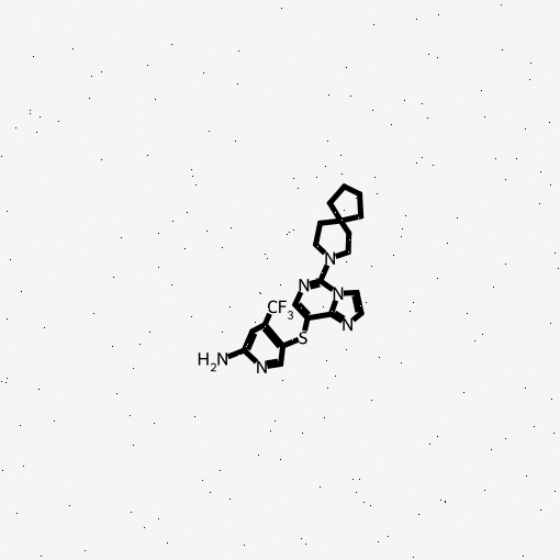 Nc1cc(C(F)(F)F)c(Sc2cnc(N3CCC4(CCCC4)CC3)n3ccnc23)cn1